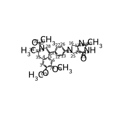 COc1cc2c(cc1OC)C(c1ccc(N3Cc4nc(C)[nH]c(=O)c4C3)cc1)=CN(C(C)=O)C(C)C2